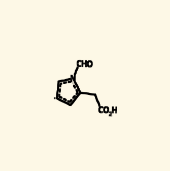 O=Cn1c[c]cc1CC(=O)O